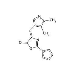 Cc1c(C=C2N=C(c3cccs3)OC2=O)cnn1C